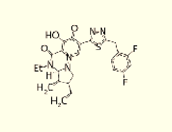 C=C[C@@H]1CN2[C@@H](C1=C)N(CC)C(=O)c1c(O)c(=O)c(-c3nnc(Cc4ccc(F)cc4F)s3)cn12